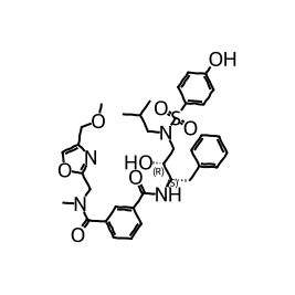 COCc1coc(CN(C)C(=O)c2cccc(C(=O)N[C@@H](Cc3ccccc3)[C@H](O)CN(CC(C)C)S(=O)(=O)c3ccc(O)cc3)c2)n1